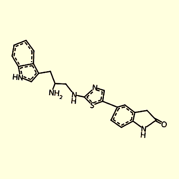 NC(CNc1ncc(-c2ccc3c(c2)CC(=O)N3)s1)Cc1c[nH]c2ccccc12